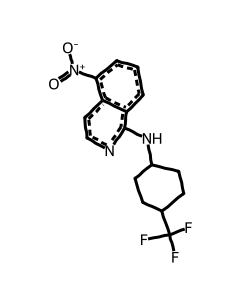 O=[N+]([O-])c1cccc2c(NC3CCC(C(F)(F)F)CC3)nccc12